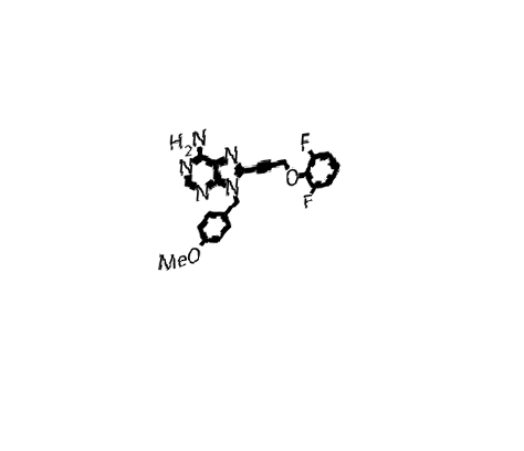 COc1ccc(Cn2c(C#CCOc3c(F)cccc3F)nc3c(N)ncnc32)cc1